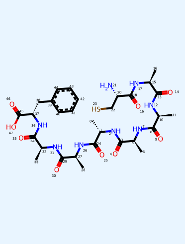 C[C@H](NC(=O)[C@H](C)NC(=O)[C@H](C)NC(=O)[C@H](C)NC(=O)[C@@H](N)CS)C(=O)N[C@@H](C)C(=O)N[C@@H](C)C(=O)N[C@@H](Cc1ccccc1)C(=O)O